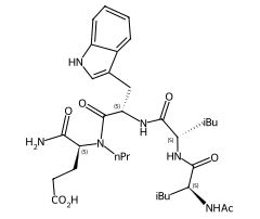 CCCN(C(=O)[C@H](Cc1c[nH]c2ccccc12)NC(=O)[C@@H](NC(=O)[C@@H](NC(C)=O)C(C)CC)C(C)CC)[C@@H](CCC(=O)O)C(N)=O